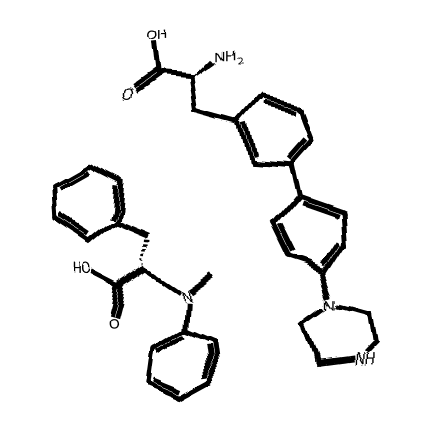 CN(c1ccccc1)[C@@H](Cc1ccccc1)C(=O)O.N[C@@H](Cc1cccc(-c2ccc(N3CCNCC3)cc2)c1)C(=O)O